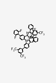 Fc1cccc(F)c1-c1ccc(-n2c3cc(-c4cc(C(F)(F)F)cc(C(F)(F)F)c4)ccc3c3ccc(-c4cc(C(F)(F)F)cc(C(F)(F)F)c4)cc32)c(-c2nc(-c3ccccc3)nc(-c3ccccc3)n2)c1